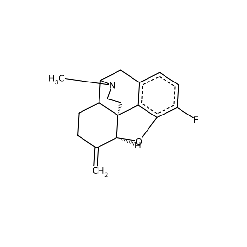 C=C1CCC2C3Cc4ccc(F)c5c4[C@@]2(CCN3C)[C@H]1O5